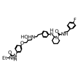 CCNC(=O)Nc1ccc(OC[C@@H](O)CNCCc2ccc(NC3CCCCN3C(=O)NCCc3ccc(F)cc3)cc2)cc1